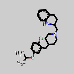 CC(C)Oc1ccc(Cl)c(CC2CCN(CC3CCc4ccccc4N3)CC2)c1